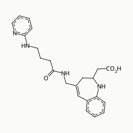 O=C(O)CC1CC(CNC(=O)CCCNc2ccccn2)=Cc2ccccc2N1